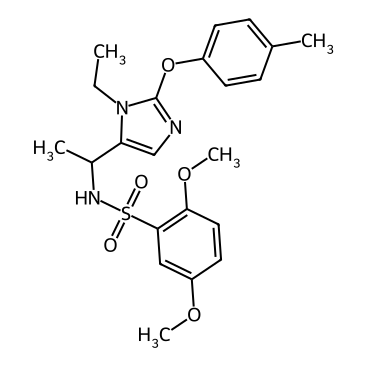 CCn1c(C(C)NS(=O)(=O)c2cc(OC)ccc2OC)cnc1Oc1ccc(C)cc1